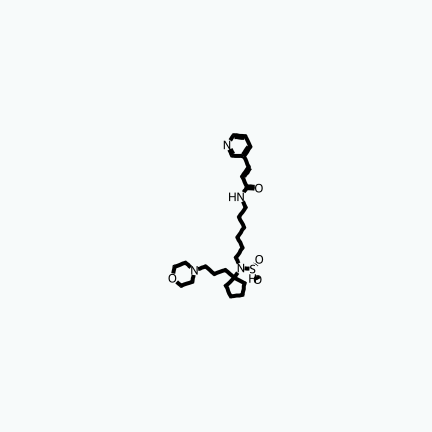 O=C(/C=C/c1cccnc1)NCCCCCCN([SH](=O)=O)C1(CCCN2CCOCC2)CCCC1